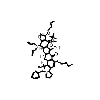 C=CCN(CC=C)[C@@H]1c2onc(OCCCC)c2C(=O)[C@@]2(O[Si](C)(C)C(C)(C)C)C(O)=C3C(=O)c4c(OCCCC)cc(C5CCCN5Cc5ccccc5)c(C(F)(F)F)c4C[C@H]3C[C@@H]12